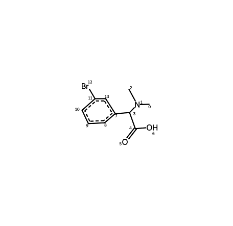 CN(C)C(C(=O)O)c1cccc(Br)c1